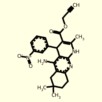 C#CCOC(=O)C1=C(C)Nc2nc3c(c(N)c2C1c1cccc([N+](=O)[O-])c1)CC(C)(C)CC3